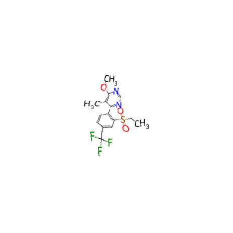 CCS(=O)(=O)c1cc(C(F)(F)F)ccc1-c1ncnc(OC)c1C